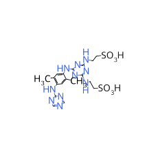 Cc1cc(Nc2nc(NCCS(=O)(=O)O)nc(NCCS(=O)(=O)O)n2)c(C)cc1Nc1ncncn1